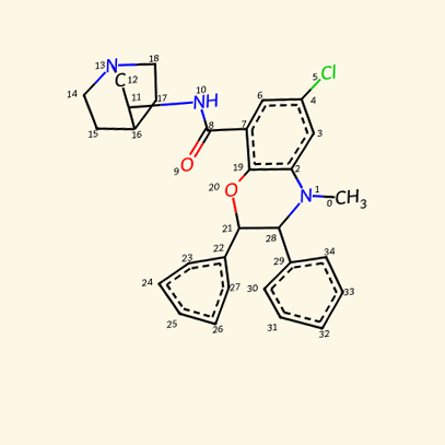 CN1c2cc(Cl)cc(C(=O)NC3CN4CCC3CC4)c2OC(c2ccccc2)C1c1ccccc1